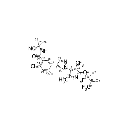 Cn1nc(OC(F)(F)C(F)C(F)(F)F)c(C(F)(F)F)c1-n1cc(-c2cc(C(=O)NC3(C#N)CC3)c(Cl)cc2F)cn1